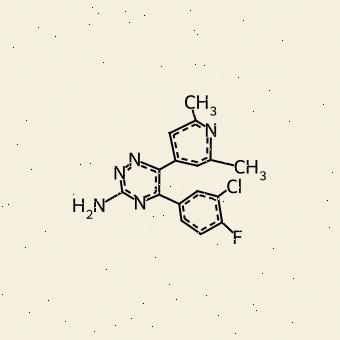 Cc1cc(-c2nnc(N)nc2-c2ccc(F)c(Cl)c2)cc(C)n1